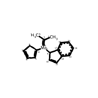 C[C](C)=[Mo]([C]1=CC=CC1)[CH]1C=Cc2ccccc21